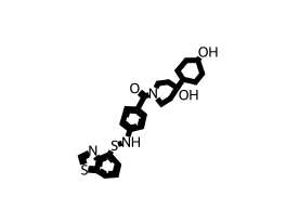 O=C(c1ccc(NSc2cccc3scnc23)cc1)N1CCC(O)(C2CCC(O)CC2)CC1